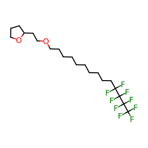 FC(F)(F)C(F)(F)C(F)(F)C(F)(F)CCCCCCCCCCOCCC1CCCO1